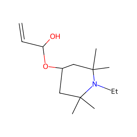 C=CC(O)OC1CC(C)(C)N(CC)C(C)(C)C1